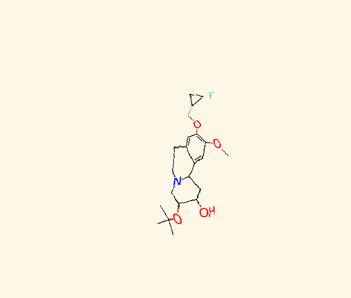 COc1cc2c(cc1OC[C@@H]1C[C@@H]1F)CCN1CC(OC(C)(C)C)C(O)CC21